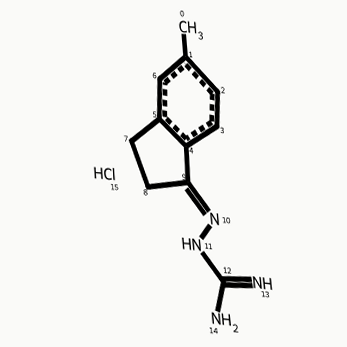 Cc1ccc2c(c1)CCC2=NNC(=N)N.Cl